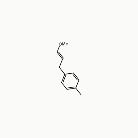 COC=CCc1ccc(C)cc1